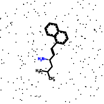 CC(C)C[C@H](N)C=Cc1cccc2ccccc12